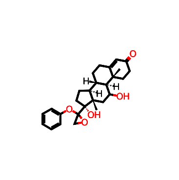 C[C@]12CCC(=O)C=C1CC[C@@H]1[C@@H]2C(O)C[C@@]2(C)[C@H]1CC[C@]2(O)C1(Oc2ccccc2)CO1